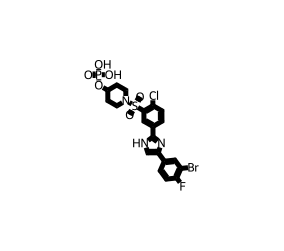 O=P(O)(O)OC1CCN(S(=O)(=O)c2cc(-c3nc(-c4ccc(F)c(Br)c4)c[nH]3)ccc2Cl)CC1